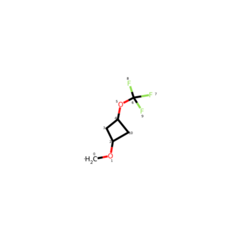 [CH2]OC1CC(OC(F)(F)F)C1